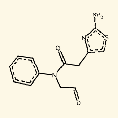 Nc1nc(CC(=O)N(C[C]=O)c2ccccc2)cs1